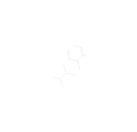 CC(C)C1CCc2ncccc2C1